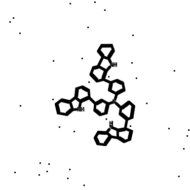 c1cc(-c2cccc3c2[nH]c2ccccc23)cc(N(c2cccc(-c3cccc4c3[nH]c3ccccc34)c2)c2cccc(-c3cccc4c3[nH]c3ccccc34)c2)c1